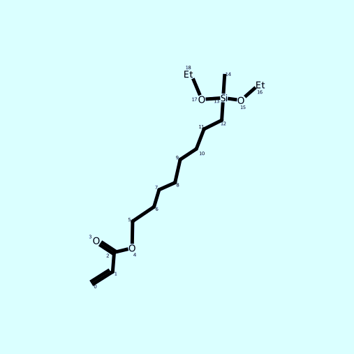 C=CC(=O)OCCCCCCCC[Si](C)(OCC)OCC